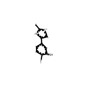 Cc1nc(-c2ccc(F)c(S)c2)cs1